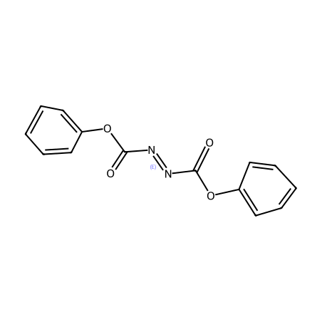 O=C(/N=N/C(=O)Oc1ccccc1)Oc1ccccc1